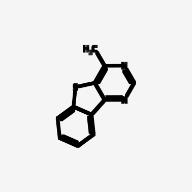 Cc1ncnc2c1sc1ccccc12